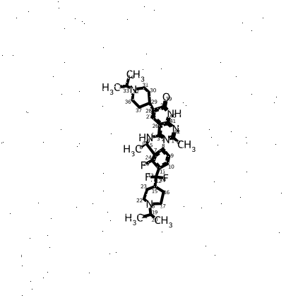 Cc1nc(N[C@H](C)c2cccc(C(F)(F)C3CCN(C(C)C)CC3)c2F)c2cc(C3CCN(C(C)C)CC3)c(=O)[nH]c2n1